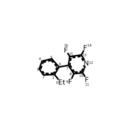 CCc1ccccc1-c1c(F)c(F)nc(F)c1F